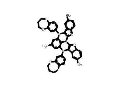 Cc1cc2c3c(c1)N(c1ccc4c(c1)OCCCO4)c1c(oc4ccc(C(C)(C)C)cc14)B3C1=C(C3C=C(C(C)(C)C)C=CC3O1)N2c1ccc2c(c1)OCCCO2